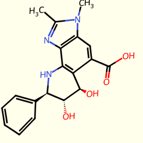 Cc1nc2c3c(c(C(=O)O)cc2n1C)[C@@H](O)[C@H](O)[C@@H](c1ccccc1)N3